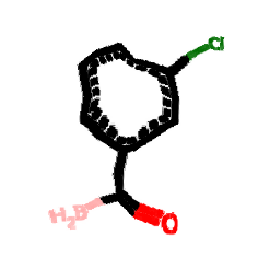 BC(=O)c1cccc(Cl)c1